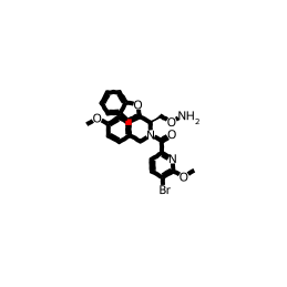 COc1ccc(CN(C(=O)c2ccc(Br)c(OC)n2)[C@H](CON)c2cc3ccccc3o2)cc1